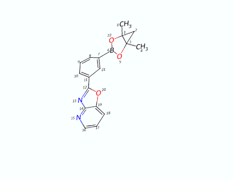 CC12CC1(C)OB(c1cccc(-c3nc4ncccc4o3)c1)O2